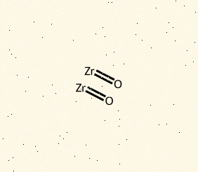 [O]=[Zr].[O]=[Zr]